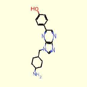 NC1CCC(Cn2cnc3ncc(-c4ccc(O)cc4)nc32)CC1